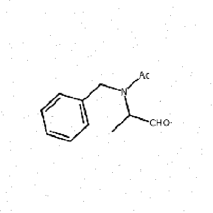 CC(=O)N(Cc1ccccc1)C(C)[C]=O